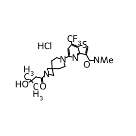 CNC(=O)c1csc2c(C(F)(F)F)cc(N3CCC4(CC3)CN(C(=O)CC(C)(C)O)C4)nc12.Cl